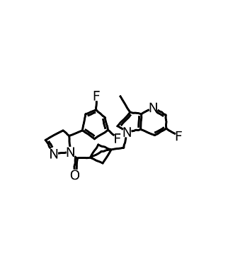 Cc1cn(CC23CC(C(=O)N4N=CCC4c4cc(F)cc(F)c4)(C2)C3)c2cc(F)cnc12